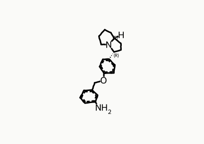 Nc1cccc(COc2ccc([C@H]3CC[C@H]4CCCCN43)cc2)c1